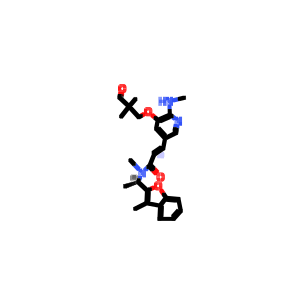 CNc1ncc(/C=C/C(=O)N(C)[C@H](C)c2oc3ccccc3c2C)cc1OCC(C)(C)C=O